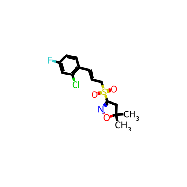 CC1(C)CC(S(=O)(=O)CC=Cc2ccc(F)cc2Cl)=NO1